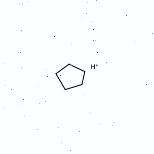 C1CCCC1.[H+]